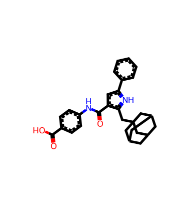 O=C(O)c1ccc(NC(=O)c2cc(-c3ccccc3)[nH]c2CC23CC4CC(CC(C4)C2)C3)cc1